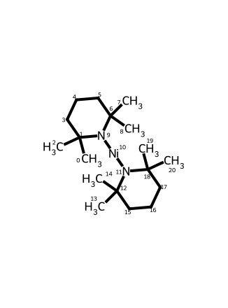 CC1(C)CCCC(C)(C)[N]1[Ni][N]1C(C)(C)CCCC1(C)C